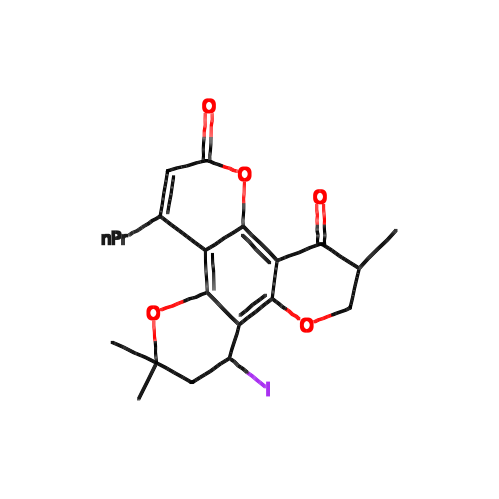 CCCc1cc(=O)oc2c3c(c4c(c12)OC(C)(C)CC4I)OCC(C)C3=O